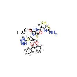 CC.Cn1nnnc1SCC1(C(=O)OC(c2ccccc2)c2ccccc2)CS[C@@H]2C(NC(=O)C(=CS)c3csc(N)n3)C(=O)N2C1